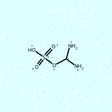 NC(N)OS(=O)(=O)O